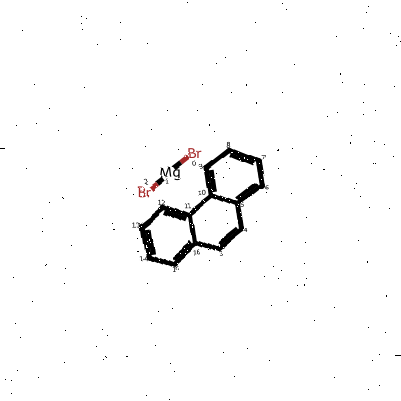 [Br][Mg][Br].[c]1cc2ccccc2c2ccccc12